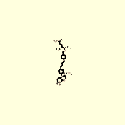 C[C@@H](OCc1ccc(CCCCc2ccc3c(c2)n(C)c(=O)n3C2CCC(=O)NC2=O)cc1)[C@@H](N)CCC(N)=O